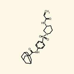 C=CC(=O)N[C@H]1CCCN(S(=O)(=O)c2ccc(NC(=O)C34CC5CC(CC(C5)C3)C4)cc2)C1